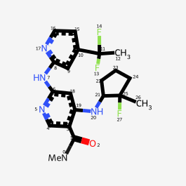 CNC(=O)c1cnc(Nc2cc(C(C)(F)F)ccn2)cc1NC1CCCC1(C)F